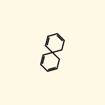 [C]1=CC=CCC12C=CC=CC2